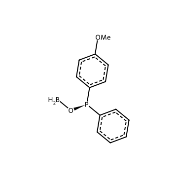 BO[P@](c1ccccc1)c1ccc(OC)cc1